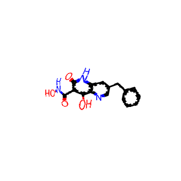 O=C(NO)c1c(O)c2ncc(Cc3ccccc3)cc2[nH]c1=O